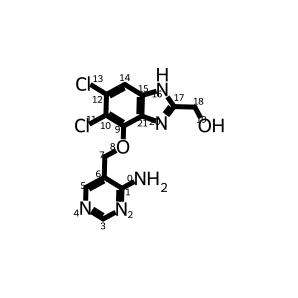 Nc1ncncc1COc1c(Cl)c(Cl)cc2[nH]c(CO)nc12